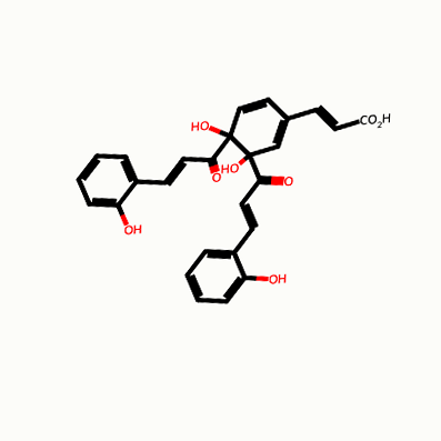 O=C(O)/C=C/C1=CC(O)(C(=O)/C=C/c2ccccc2O)C(O)(C(=O)/C=C/c2ccccc2O)C=C1